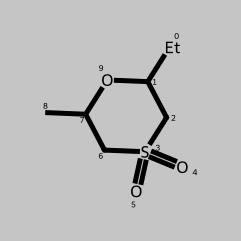 CCC1CS(=O)(=O)CC(C)O1